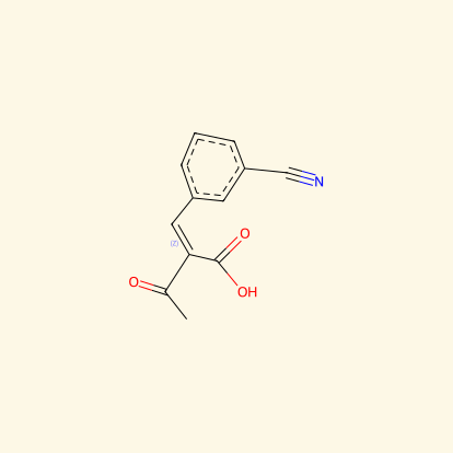 CC(=O)/C(=C/c1cccc(C#N)c1)C(=O)O